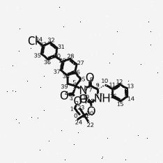 CCOC(=O)C1(NC(=O)[C@H](Cc2ccccc2)NC(=O)OC(C)(C)C)Cc2ccc(-c3ccc(Cl)cc3)cc2C1